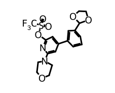 O=S(=O)(Oc1cc(-c2cccc(C3OCCO3)c2)cc(N2CCOCC2)n1)C(F)(F)F